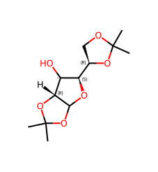 CC1(C)OC2O[C@H]([C@H]3COC(C)(C)O3)[C](O)[C@H]2O1